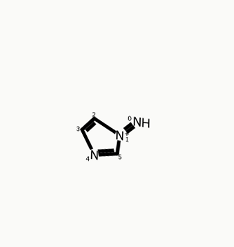 N=[N+]1C=CN=C1